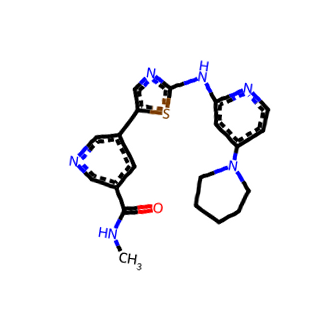 CNC(=O)c1cncc(-c2cnc(Nc3cc(N4CCCCC4)ccn3)s2)c1